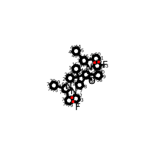 Fc1ccc(N(c2ccc3c(c2)C(c2ccccc2)(c2ccccc2)c2cc(N(c4ccc(F)cc4)c4ccc(-c5ccccc5)cc4-c4ccccc4)c4c(oc5ccccc54)c2-3)c2ncc(-c3ccccc3)cc2-c2ccccc2)cc1